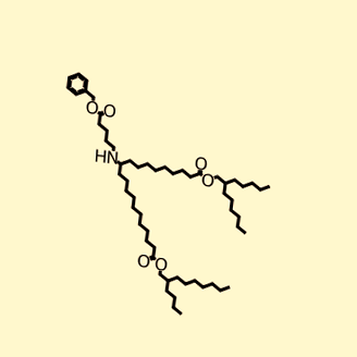 CCCCCCCC(CCCC)COC(=O)CCCCCCCCCCC(CCCCCCCCC(=O)OCC(CCCCC)CCCCCC)NCCCCC(=O)OCc1ccccc1